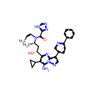 C/C=C\N(C(=O)c1nnc[nH]1)[C@H](C)C[C@@H](O)c1nc2c(-c3ccc(-c4ccccc4)nc3)cnn2c(N)c1C1CC1